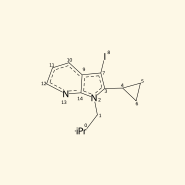 C[C](C)Cn1c(C2CC2)c(I)c2cccnc21